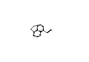 O=C(O)/C=C/c1ccc2c3c(cccc13)CC2